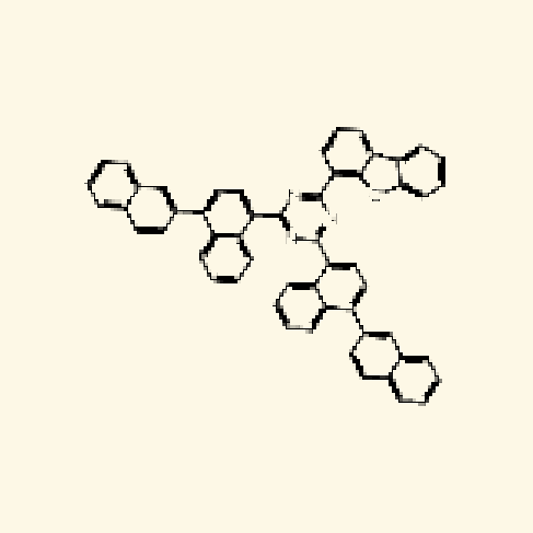 c1ccc2cc(-c3ccc(-c4nc(-c5ccc(-c6ccc7ccccc7c6)c6ccccc56)nc(-c5cccc6c5oc5ccccc56)n4)c4ccccc34)ccc2c1